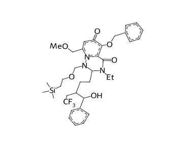 CCN1C(=O)c2c(OCc3ccccc3)c(=O)cc(COC)n2N(COCC[Si](C)(C)C)C1CCC(CC(F)(F)F)C(O)c1ccccc1